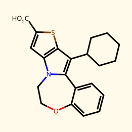 O=C(O)c1cc2c(s1)c(C1CCCCC1)c1n2CCOc2ccccc2-1